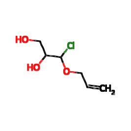 C=CCOC(Cl)C(O)CO